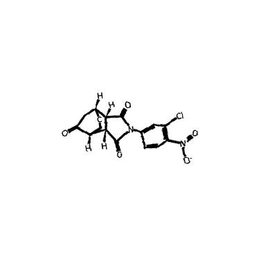 O=C1C[C@H]2CC[C@@H]1[C@H]1C(=O)N(c3ccc([N+](=O)[O-])c(Cl)c3)C(=O)[C@@H]21